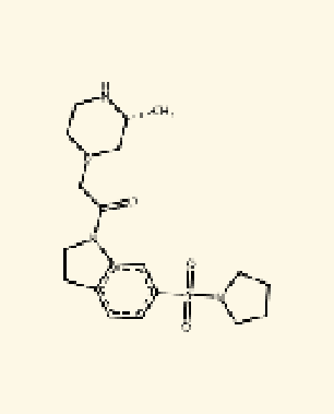 C[C@@H]1CN(CC(=O)N2CCc3ccc(S(=O)(=O)N4CCCC4)cc32)CCN1